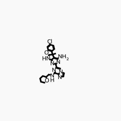 CC1(c2ccc(Cl)cc2)C(=O)Nc2nc(-c3cn4ccnc4c(NCC4CCCCO4)n3)nc(N)c21